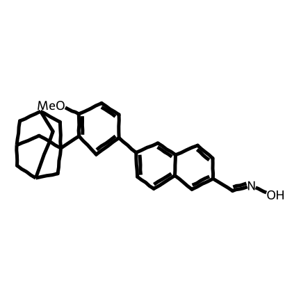 COc1ccc(-c2ccc3cc(/C=N/O)ccc3c2)cc1C12CC3CC(CC(C3)C1)C2